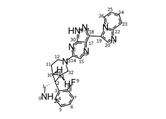 NC[C@]1(c2ccccc2F)[C@@H]2CCN(c3cnc4c(-c5cnc6ccccn56)n[nH]c4n3)C[C@@H]21